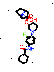 O=C(Nc1ccc(N2CCCC(OC(=O)N3C4CCC3CC(O)C4)C2)c(F)c1)C1CCCCC1